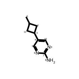 CC1CC(c2cnc(N)nc2)C1